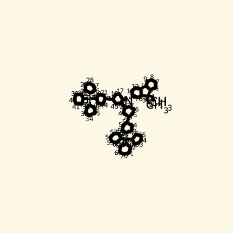 CCC1(CC)c2ccccc2-c2ccc(-n3c4ccc(-c5ccc([Si](c6ccccc6)(c6ccccc6)c6ccccc6)cc5)cc4c4cc(-c5ccc([Si](c6ccccc6)(c6ccccc6)c6ccccc6)cc5)ccc43)cc21